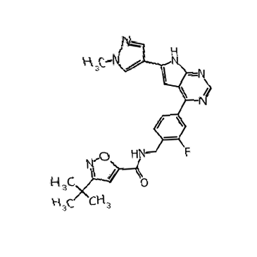 Cn1cc(-c2cc3c(-c4ccc(CNC(=O)c5cc(C(C)(C)C)no5)c(F)c4)ncnc3[nH]2)cn1